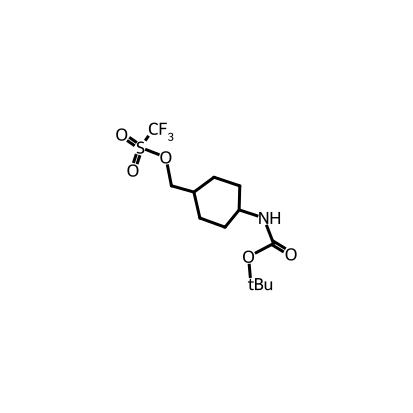 CC(C)(C)OC(=O)NC1CCC(COS(=O)(=O)C(F)(F)F)CC1